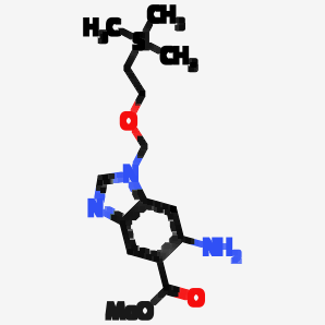 COC(=O)c1cc2ncn(COCC[Si](C)(C)C)c2cc1N